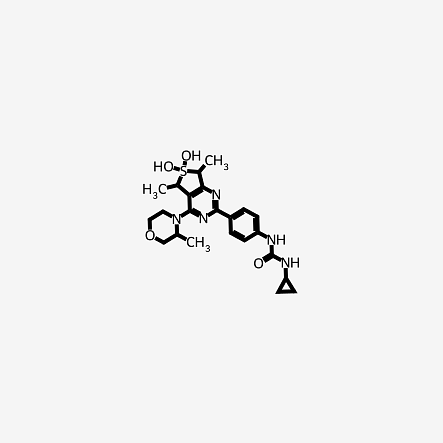 CC1COCCN1c1nc(-c2ccc(NC(=O)NC3CC3)cc2)nc2c1C(C)S(O)(O)C2C